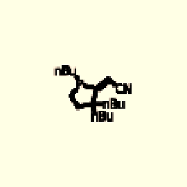 CCCCP1CCC(CCCC)(CCCC)C1=CC#N